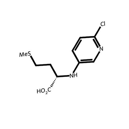 CSCC[C@H](Nc1ccc(Cl)nc1)C(=O)O